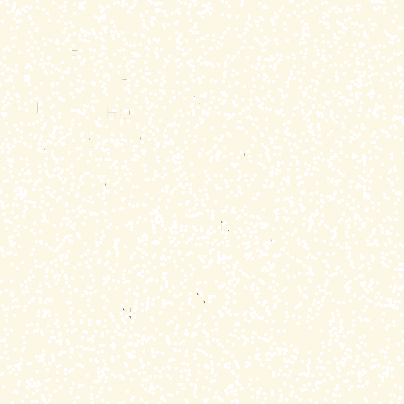 CCCCOn1c(=O)c(C(=O)O)c(OS(=O)(=O)C(F)(F)F)c2c(C)ncnc21